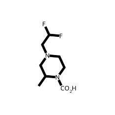 CC1CN(CC(F)F)CCN1C(=O)O